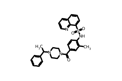 Cc1cc(C(=O)N2CCN(C(C)c3ccccc3)CC2)ccc1NS(=O)(=O)c1cccc2cccnc12